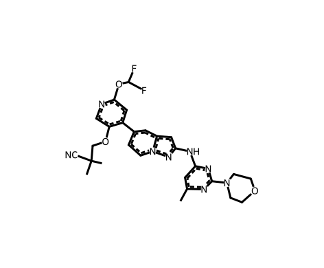 Cc1cc(Nc2cc3cc(-c4cc(OC(F)F)ncc4OCC(C)(C)C#N)ccn3n2)nc(N2CCOCC2)n1